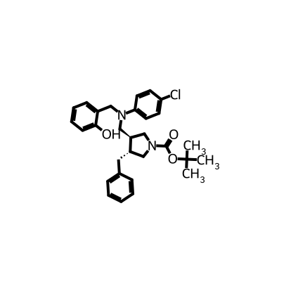 CC(C)(C)OC(=O)N1C[C@H](CN(Cc2ccccc2O)c2ccc(Cl)cc2)[C@@H](Cc2ccccc2)C1